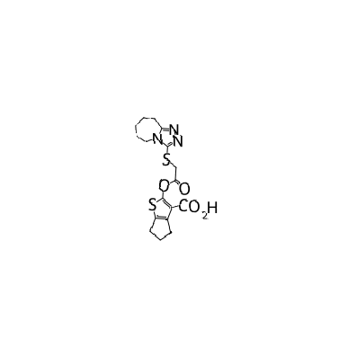 O=C(CSc1nnc2n1CCCCC2)Oc1sc2c(c1C(=O)O)CCC2